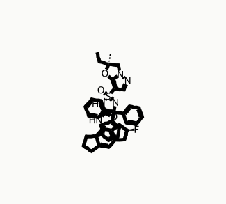 CC[C@@]1(C)Cn2ncc(S(=O)(=NC(c3ccccc3)(c3ccccc3)c3ccccc3)NC(=O)Nc3c4c(cc5c3C[C@@H](F)C5)CCC4)c2O1